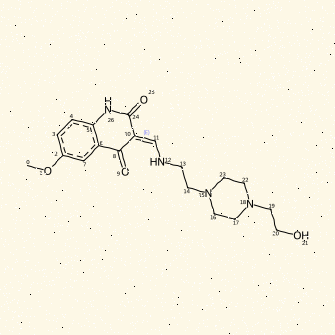 COc1ccc2c(c1)C(=O)/C(=C\NCCN1CCN(CCO)CC1)C(=O)N2